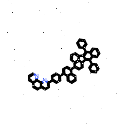 c1ccc(-c2c3c(c(-c4ccccc4)c4ccccc24)-c2ccc(-c4ccc(-c5ccc(-c6ccc7ccc8cccnc8c7n6)cc5)c5ccccc45)c4cccc-3c24)cc1